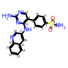 Nc1ncc(-c2ccc(S(N)(=O)=O)cc2)c(Nc2cnc3ccccc3c2)n1